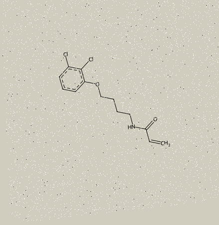 C=CC(=O)NCCCCOc1cccc(Cl)c1Cl